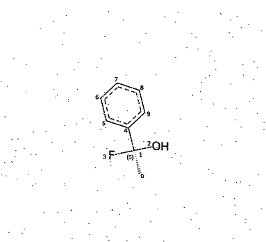 C[C@](O)(F)c1ccccc1